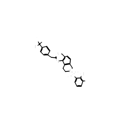 O=C(Cc1ccc(C(F)(F)F)cc1)Nc1c(Cl)ccc2c1CCN(S(=O)(=O)c1cccc(Cl)c1Cl)C2